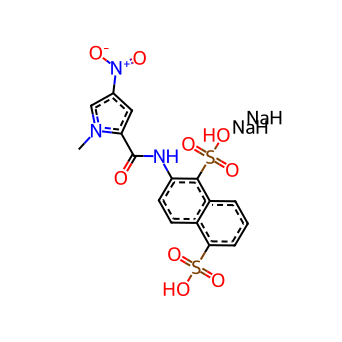 Cn1cc([N+](=O)[O-])cc1C(=O)Nc1ccc2c(S(=O)(=O)O)cccc2c1S(=O)(=O)O.[NaH].[NaH]